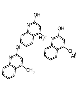 Cc1cc(O)nc2ccccc12.Cc1cc(O)nc2ccccc12.Cc1cc(O)nc2ccccc12.[Al]